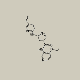 CCOc1ccncc1NC(=O)c1ccnc(Nc2ccc(CF)cn2)c1